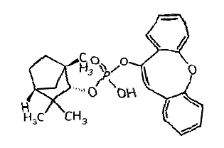 CC1(C)[C@@H]2CC[C@@](C)(C2)[C@@H]1OP(=O)(O)OC1=Cc2ccccc2Oc2ccccc21